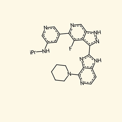 CC(C)Nc1cncc(-c2ncc3[nH]nc(-c4nc5c(N6CCCCC6)nccc5[nH]4)c3c2F)c1